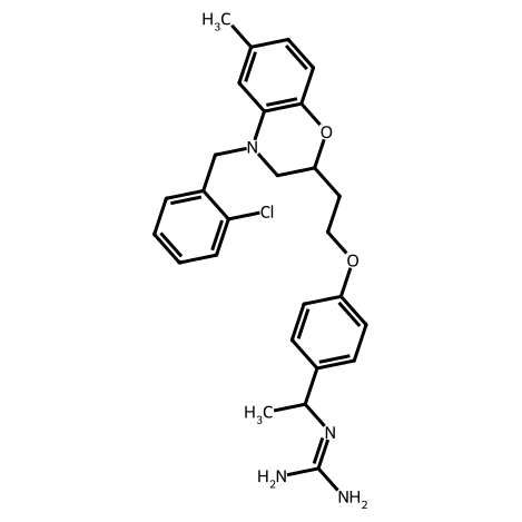 Cc1ccc2c(c1)N(Cc1ccccc1Cl)CC(CCOc1ccc(C(C)N=C(N)N)cc1)O2